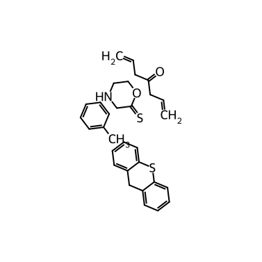 C=CCC(=O)CC=C.Cc1ccccc1.S=C1CNCCO1.c1ccc2c(c1)Cc1ccccc1S2